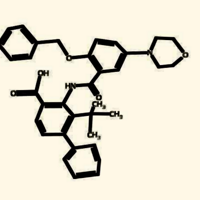 CC(C)(C)c1c(-c2ccccc2)ccc(C(=O)O)c1NC(=O)c1cc(N2CCOCC2)ccc1OCc1ccccc1